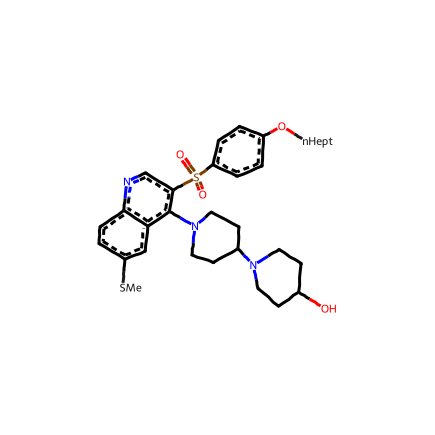 CCCCCCCOc1ccc(S(=O)(=O)c2cnc3ccc(SC)cc3c2N2CCC(N3CCC(O)CC3)CC2)cc1